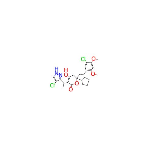 COc1cc(OC)c(CCC2(C3CCCC3)CC(O)=C(C(C)c3n[nH]cc3Cl)C(=O)O2)cc1Cl